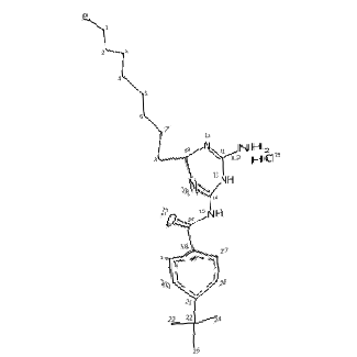 CCCCCCCCCC1N=C(N)NC(NC(=O)c2ccc(C(C)(C)C)cc2)=N1.Cl